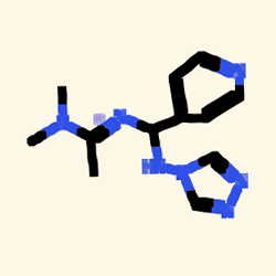 C/C(=N\C(Nn1cnnc1)c1ccncc1)N(C)C